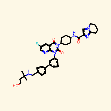 CC(C)(CCO)NCc1ccc(-c2cccc(-n3c(=O)n([C@H]4CC[C@@H](NC(=O)c5cn6c(n5)CCCC6)CC4)c(=O)c4cc(F)cnc43)c2)cc1